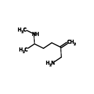 C=C(CN)CCC(C)NC